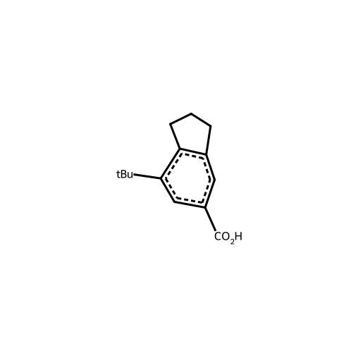 CC(C)(C)c1cc(C(=O)O)cc2c1CCC2